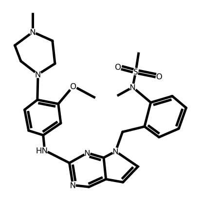 COc1cc(Nc2ncc3ccn(Cc4ccccc4N(C)S(C)(=O)=O)c3n2)ccc1N1CCN(C)CC1